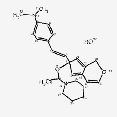 CC(OC1(/C=C/c2ccc(N(C)C)cc2)C=C2C=COCC2=C1)N1CCCCC1.Cl